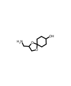 NCC1COC2(CCC(O)CC2)O1